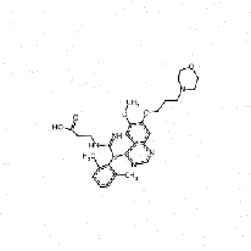 COc1cc2c(N(C(=N)NCCC(=O)O)c3c(C)cccc3C)ncnc2cc1OCCCN1CCOCC1